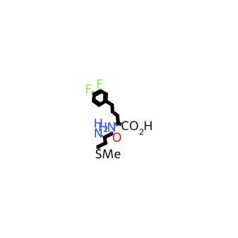 CSCC[C@H](N)C(=O)NC(CCCc1ccc(F)c(F)c1)C(=O)O